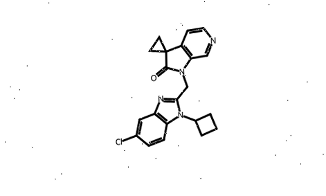 O=C1N(Cc2nc3cc(Cl)ccc3n2C2CCC2)c2cnccc2C12CC2